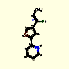 [CH2]/C=C(\F)c1csc(-c2ccccn2)c1